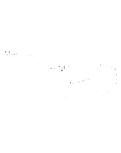 CSCCNC(=O)C1CCCC1